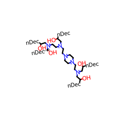 CCCCCCCCCCC(O)CN(CCN1CCN(CCN(CC(O)CCCCCCCCCC)CC(O)CCCCCCCCCC)CC1)CCN(CC(O)CCCCCCCCCC)[C@H](O)CCCCCCCCCC